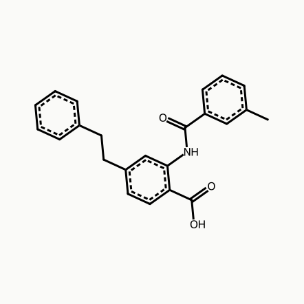 Cc1cccc(C(=O)Nc2cc(CCc3ccccc3)ccc2C(=O)O)c1